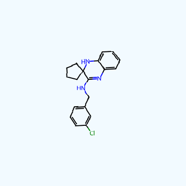 Clc1cccc(CNC2=Nc3ccccc3NC23CCCC3)c1